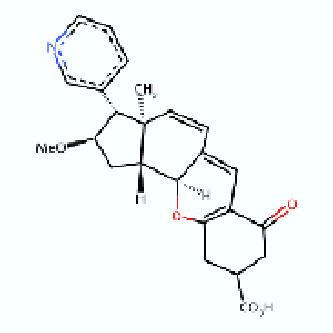 CO[C@@H]1C[C@H]2[C@@H]3OC4=C(C=C3C=C[C@]2(C)[C@H]1c1cccnc1)C(=O)CC(C(=O)O)C4